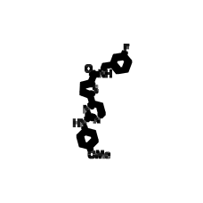 COc1ccc(Nc2nccc(-c3ccc(C(=O)NCc4cccc(F)c4)s3)n2)cc1